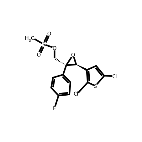 CS(=O)(=O)OC[C@]1(c2ccc(F)cc2)O[C@H]1c1cc(Cl)sc1Cl